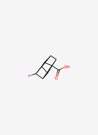 O=C(O)C12C3C4C1C1C2C3C41I